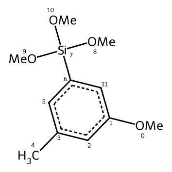 COc1cc(C)cc([Si](OC)(OC)OC)c1